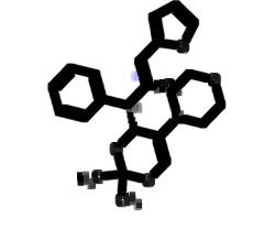 CC1(C)OC=C(N2CCOCC2)C([C@@H](/C(=C/c2ccco2)[N+](=O)[O-])c2ccccc2)O1